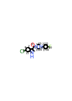 O=C(c1c[nH]c2c1=CCC(Cl)C=2)N1CCN(c2ccc(F)cc2)CC1